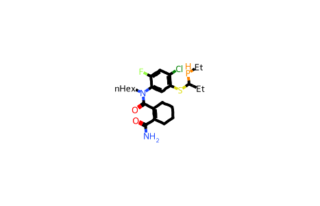 CCCCCCN(C(=O)C1=C(C(N)=O)CCCC1)c1cc(SC(CC)PCC)c(Cl)cc1F